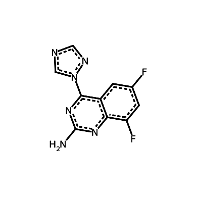 Nc1nc(-n2cncn2)c2cc(F)cc(F)c2n1